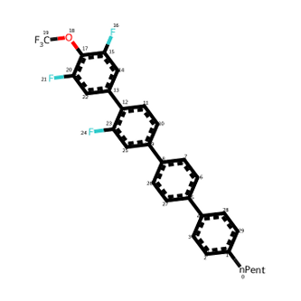 CCCCCc1ccc(-c2ccc(-c3ccc(-c4cc(F)c(OC(F)(F)F)c(F)c4)c(F)c3)cc2)cc1